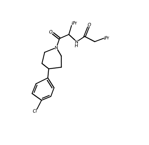 CC(C)CC(=O)NC(C(=O)N1CCC(c2ccc(Cl)cc2)CC1)C(C)C